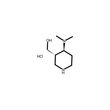 CN(C)[C@H]1CCNC[C@@H]1CO.Cl